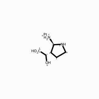 N[C@@H]1CCCN1.O=C(O)CO.[Pt]